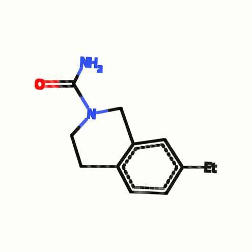 CCc1ccc2c(c1)CN(C(N)=O)CC2